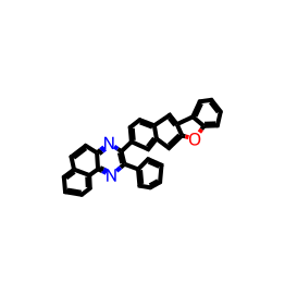 c1ccc(-c2nc3c(ccc4ccccc43)nc2-c2ccc3cc4c(cc3c2)oc2ccccc24)cc1